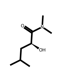 CC(C)C[C@H](O)C(=O)N(C)C